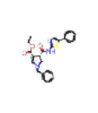 CCOC(=O)[C@@H]1CN(Cc2ccccc2)C[C@H]1C(=O)Nc1ncc(-c2ccccc2)s1